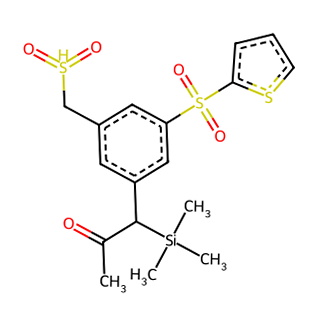 CC(=O)C(c1cc(C[SH](=O)=O)cc(S(=O)(=O)c2cccs2)c1)[Si](C)(C)C